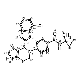 CC1(NC(=O)c2ccc(N3CCc4[nH]cnc4[C@@H]3c3cc4c(F)cccn4n3)nn2)CC1